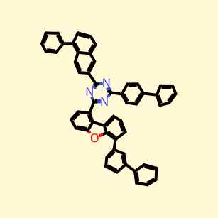 c1ccc(-c2ccc(-c3nc(-c4ccc5c(-c6ccccc6)cccc5c4)nc(-c4cccc5oc6c(-c7cccc(-c8ccccc8)c7)cccc6c45)n3)cc2)cc1